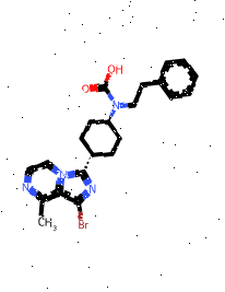 Cc1nccn2c1c(Br)nc2[C@H]1CC[C@H](N(CCc2ccccc2)C(=O)O)CC1